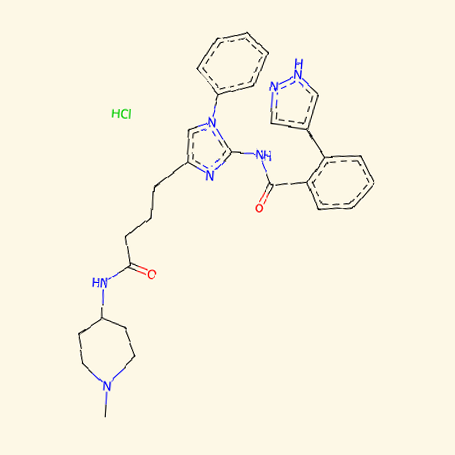 CN1CCC(NC(=O)CCCc2cn(-c3ccccc3)c(NC(=O)c3ccccc3-c3cn[nH]c3)n2)CC1.Cl